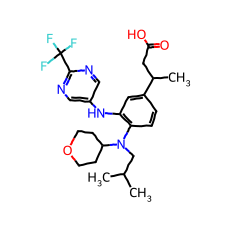 CC(C)CN(c1ccc(C(C)CC(=O)O)cc1Nc1cnc(C(F)(F)F)nc1)C1CCOCC1